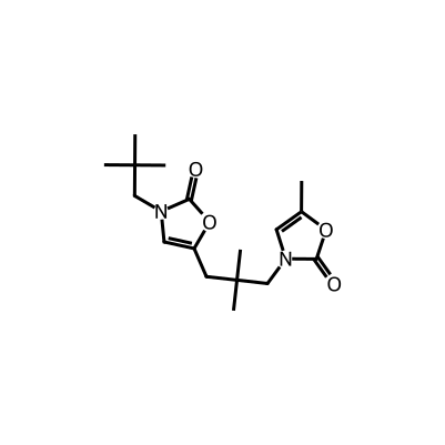 Cc1cn(CC(C)(C)Cc2cn(CC(C)(C)C)c(=O)o2)c(=O)o1